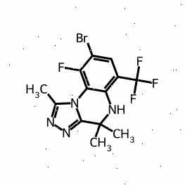 Cc1nnc2n1-c1c(F)c(Br)cc(C(F)(F)F)c1NC2(C)C